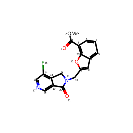 COC(=O)c1cccc2cc(CN3Cc4c(F)cncc4C3=O)oc12